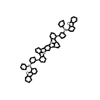 c1ccc(N(c2cccc(-c3cccc4c3c3cccc5c6cc7c(cc6n4c53)c3cccc4c5c(-c6cccc(N(c8ccccc8)c8cccc9c8oc8ccccc89)c6)cccc5n7c34)c2)c2cccc3c2oc2ccccc23)cc1